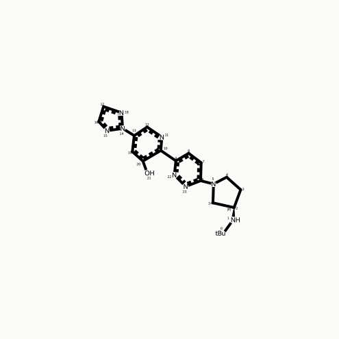 CC(C)(C)N[C@@H]1CCN(c2ccc(-c3ncc(-n4nccn4)cc3O)nn2)C1